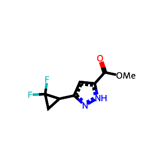 COC(=O)c1cc(C2CC2(F)F)n[nH]1